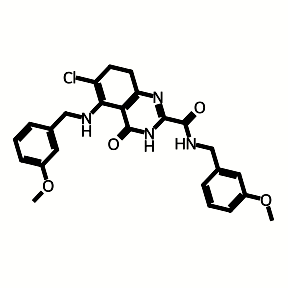 COc1cccc(CNC(=O)c2nc3c(c(=O)[nH]2)C(NCc2cccc(OC)c2)=C(Cl)CC3)c1